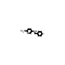 Nc1ccc(NCc2ccccc2)cn1